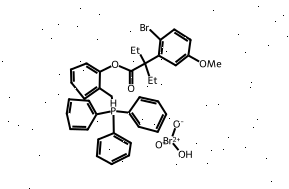 CCC(CC)(C(=O)Oc1ccccc1C[PH](c1ccccc1)(c1ccccc1)c1ccccc1)c1cc(OC)ccc1Br.[O-][Br+2]([O-])O